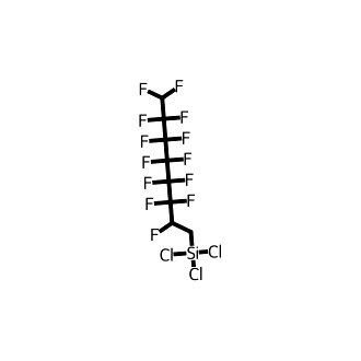 FC(F)C(F)(F)C(F)(F)C(F)(F)C(F)(F)C(F)(F)C(F)C[Si](Cl)(Cl)Cl